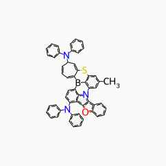 Cc1cc2c3c(c1)-n1c4c(ccc(N(c5ccccc5)c5ccccc5)c4c4oc5ccccc5c41)B3C1=CC=CC(N(c3ccccc3)c3ccccc3)C=C1S2